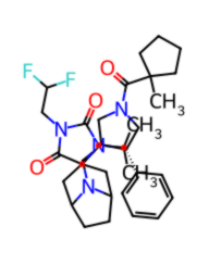 CC(C)N1C(=O)N(CC(F)F)C(=O)C12CC1CCC(C2)N1C[C@H]1CN(C(=O)C2(C)CCCC2)C[C@@H]1c1ccccc1